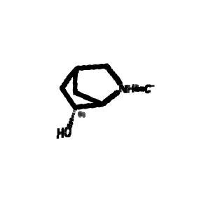 [CH2-][NH+]1CC2CC1[C@H](O)C2